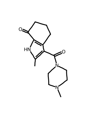 Cc1[nH]c2c(c1C(=O)N1CCN(C)CC1)CCCC2=O